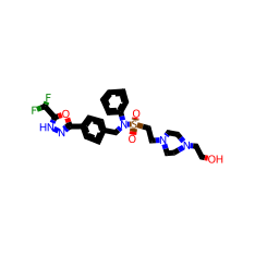 O=S(=O)(CCN1CCN(CCO)CC1)N(Cc1ccc(C2=NNC(C(F)F)O2)cc1)c1ccccc1